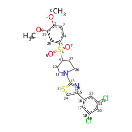 COc1ccc(S(=O)(=O)C2CCN(c3nc(-c4cc(Cl)cc(Cl)c4)cs3)CC2)cc1OC